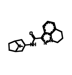 CN1C2CCC1CC(NC(=O)c1nn3c4c(cccc14)CCC3)C2